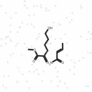 C=C(CCCCO)C(=O)OC.CC=CC(N)=O